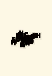 CCc1c(N2CCNCC2)c(=O)n2nc(Br)nc2n1CC(=O)Nc1ccc(C(F)(F)F)cc1C